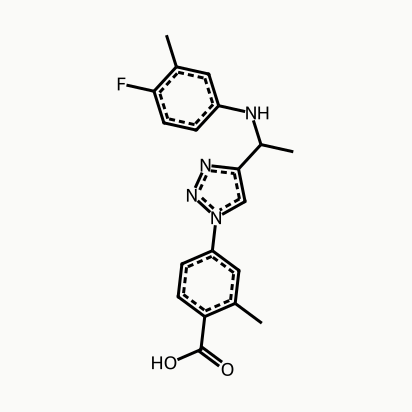 Cc1cc(NC(C)c2cn(-c3ccc(C(=O)O)c(C)c3)nn2)ccc1F